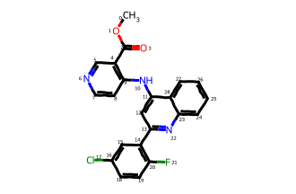 COC(=O)c1cnccc1Nc1cc(-c2cc(Cl)ccc2F)nc2ccccc12